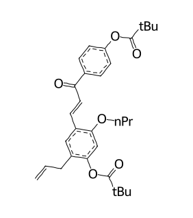 C=CCc1cc(C=CC(=O)c2ccc(OC(=O)C(C)(C)C)cc2)c(OCCC)cc1OC(=O)C(C)(C)C